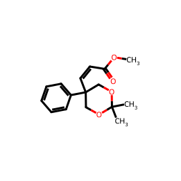 COC(=O)/C=C\C1(c2ccccc2)COC(C)(C)OC1